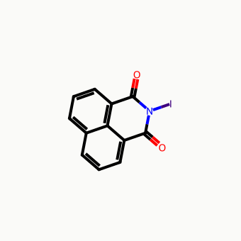 O=C1c2cccc3cccc(c23)C(=O)N1I